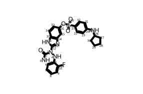 NC(=O)N(Nc1ccccc1F)c1nc2cc(OS(=O)(=O)c3ccc(NC4CCCC4)cc3)ccc2[nH]1